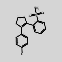 NS(=O)(=O)c1ccccc1C1=C(c2ccc(F)cc2)CCC1